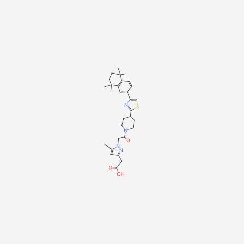 Cc1cc(CC(=O)O)nn1CC(=O)N1CCC(c2nc(-c3ccc4c(c3)C(C)(C)CCC4(C)C)cs2)CC1